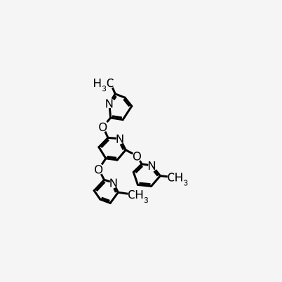 Cc1cccc(Oc2cc(Oc3cccc(C)n3)nc(Oc3cccc(C)n3)c2)n1